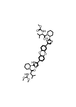 COC(=O)N[C@H](C(=O)N1CCCC[C@H]1c1ncc(-c2ccc3c(c2)Oc2ccc(-c4cnc([C@@H]5CCCCN5C(=O)[C@@H](NC(OC)OC)C(C)C)[nH]4)cc2O3)[nH]1)C(C)C